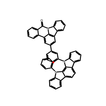 O=c1c2ccccc2c2cc(-c3cccc(-n4c5ccccc5c5ccc6c7ccccc7n(-c7ccccc7)c6c54)c3)cc3c4ccccc4n1c23